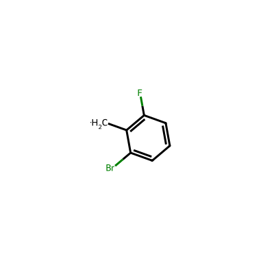 [CH2]c1c(F)cccc1Br